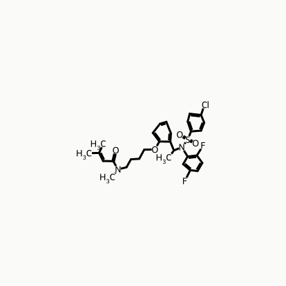 CC(C)=CC(=O)N(C)CCCCOc1ccccc1C(C)N(c1cc(F)ccc1F)S(=O)(=O)c1ccc(Cl)cc1